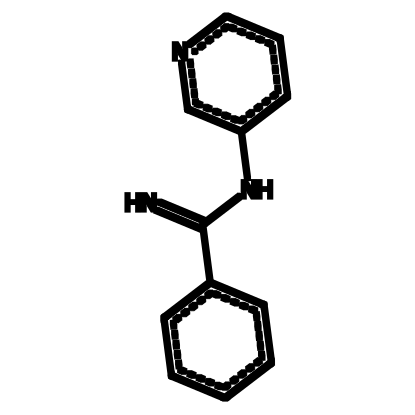 N=C(Nc1cccnc1)c1ccccc1